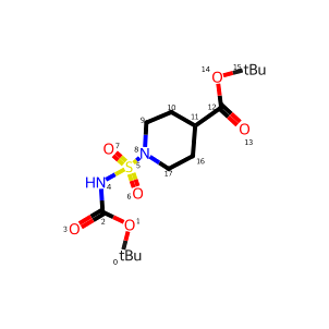 CC(C)(C)OC(=O)NS(=O)(=O)N1CCC(C(=O)OC(C)(C)C)CC1